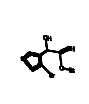 CCOC(=N)C(O)c1cscc1Br